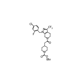 CC(C)(C)OC(=O)N1CCC(CC(=O)N2CCc3c(C(F)(F)F)nn(Cc4ccc(Cl)cc4F)c3C2)CC1